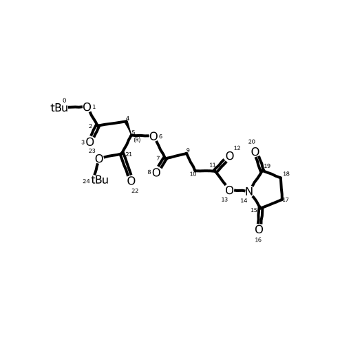 CC(C)(C)OC(=O)C[C@@H](OC(=O)CCC(=O)ON1C(=O)CCC1=O)C(=O)OC(C)(C)C